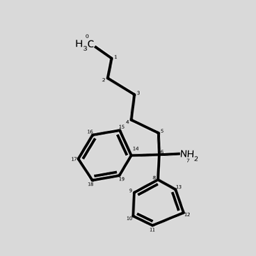 CCCCCCC(N)(c1ccccc1)c1ccccc1